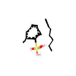 CCCCCC.Cc1ccccc1S(=O)(=O)O